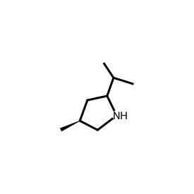 CC(C)C1C[C@H](C)CN1